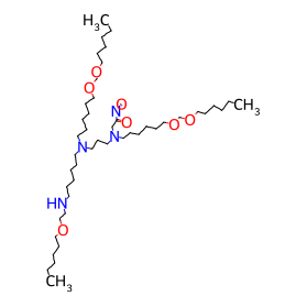 CCCCCCOCCNCCCCCCN(CCCCCCOCOCCCCCC)CCCN(CCCCCCOCOCCCCCC)CC(=O)N=O